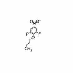 CCCCOc1c(F)cc([N+](=O)[O-])cc1F